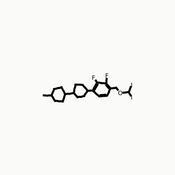 CC1CCC(C2CCC(c3ccc(COC(I)I)c(F)c3F)CC2)CC1